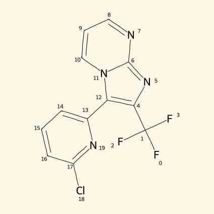 FC(F)(F)c1nc2ncccn2c1-c1cccc(Cl)n1